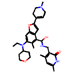 CCN(c1cc2oc(C3=CCN(C)CC3)cc2c(C(O)NCc2c(C)cc(C)[nH]c2=O)c1C)C1CCOCC1